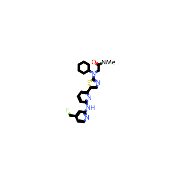 CNC(=O)CN(c1ncc(-c2cccc(Nc3cc(CF)ccn3)n2)s1)C1CCCCC1